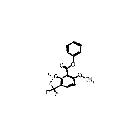 COc1ccc(C(F)(F)F)c(C)c1C(=O)Oc1ccccc1